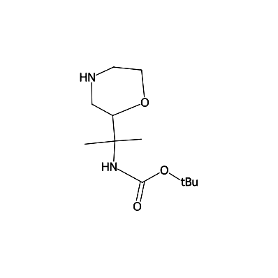 CC(C)(C)OC(=O)NC(C)(C)C1CNCCO1